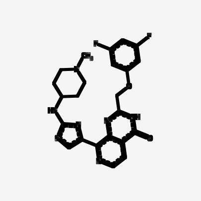 CN1CCC(Nc2nc(-c3nccc4c(=O)[nH]c(COc5cc(F)cc(F)c5)nc34)cs2)CC1